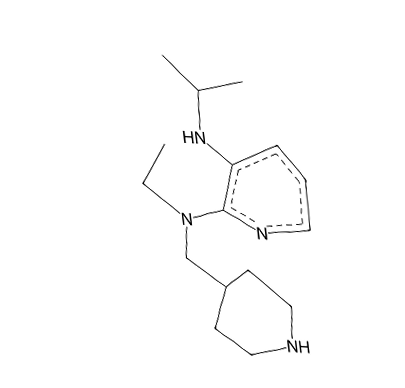 CCN(CC1CCNCC1)c1ncccc1NC(C)C